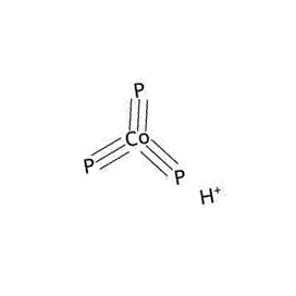 [H+].[P]#[Co](#[P])#[P]